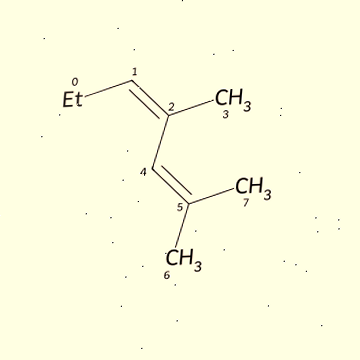 [CH2]CC=C(C)C=C(C)C